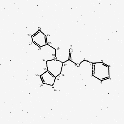 O=C(OCc1ccccc1)C1Cc2sccc2CN1Cc1ccccc1